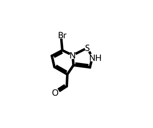 O=CC1=CC=C(Br)N2SNC=C12